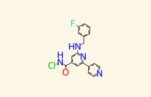 O=C(NCl)c1cc(NCc2cccc(F)c2)nc(-c2ccncc2)c1